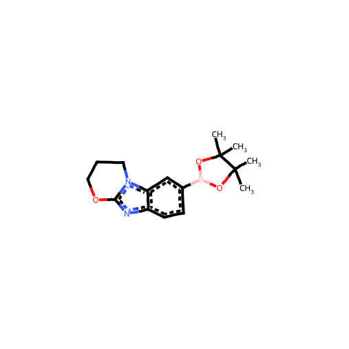 CC1(C)OB(c2ccc3nc4n(c3c2)CCCO4)OC1(C)C